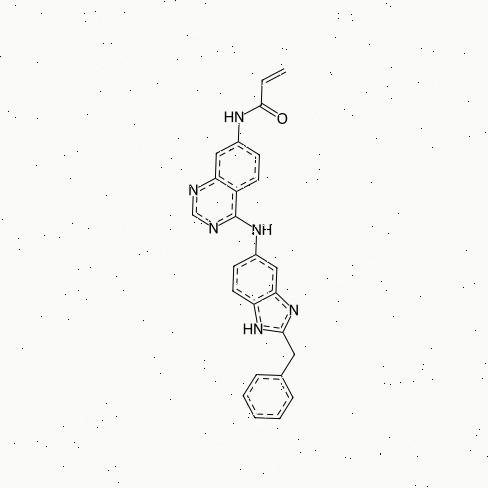 C=CC(=O)Nc1ccc2c(Nc3ccc4[nH]c(Cc5ccccc5)nc4c3)ncnc2c1